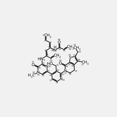 C=C/C=C(\C=C(/C=C)Nc1nc(-c2ccnc(N3CCc4c(sc(CC)c4C)C3=O)c2CO)cn(C)c1=O)NC(=O)C=C